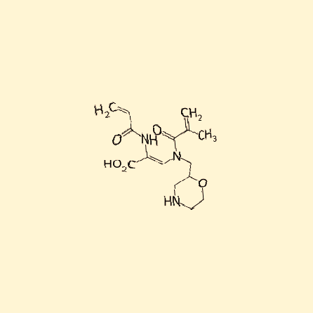 C=CC(=O)NC(=CN(CC1CNCCO1)C(=O)C(=C)C)C(=O)O